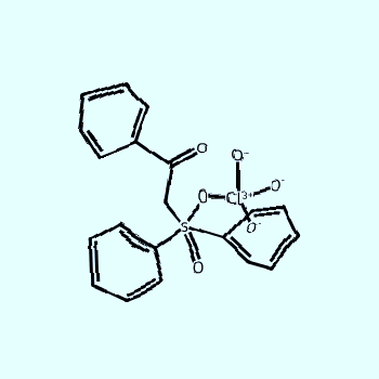 O=C(CS(=O)(O[Cl+3]([O-])([O-])[O-])(c1ccccc1)c1ccccc1)c1ccccc1